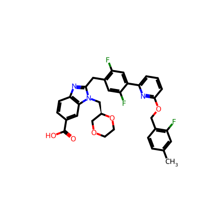 Cc1ccc(COc2cccc(-c3cc(F)c(Cc4nc5ccc(C(=O)O)cc5n4C[C@@H]4COCCO4)cc3F)n2)c(F)c1